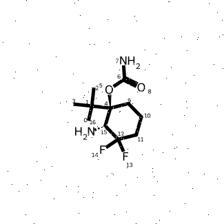 CC(C)(C)[C@]1(OC(N)=O)CCCC(F)(F)[C@@H]1N